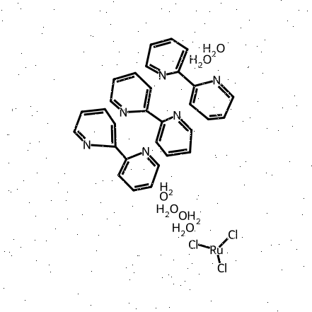 O.O.O.O.O.O.[Cl][Ru]([Cl])[Cl].c1ccc(-c2ccccn2)nc1.c1ccc(-c2ccccn2)nc1.c1ccc(-c2ccccn2)nc1